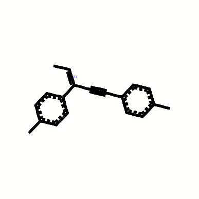 C/C=C(/C#Cc1ccc(C)cc1)c1ccc(C)cc1